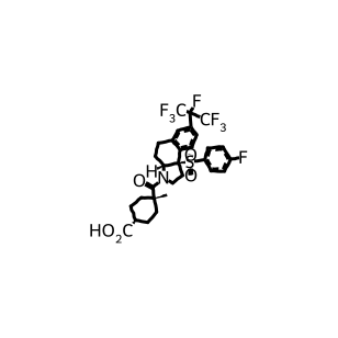 C[C@]1(C(=O)N2CC[C@@]3(S(=O)(=O)c4ccc(F)cc4)c4ccc(C(F)(C(F)(F)F)C(F)(F)F)cc4CC[C@@H]23)CC[C@H](C(=O)O)CC1